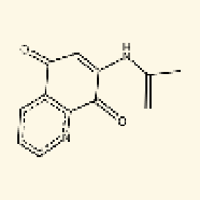 C=C(C)NC1=CC(=O)c2cccnc2C1=O